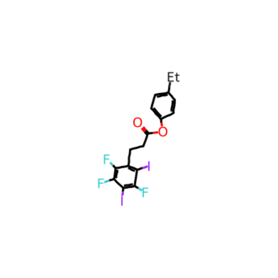 CCc1ccc(OC(=O)CCc2c(F)c(F)c(I)c(F)c2I)cc1